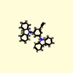 C#Cc1cc(-n2c3ccccc3c3ccccc32)cc(-n2c3ccccc3c3ccccc32)c1